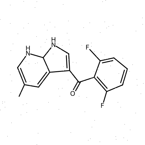 CC1=CNC2NC=C(C(=O)c3c(F)cccc3F)C2=C1